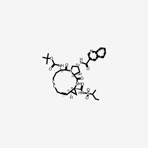 CCC(C)S(=O)(=O)NC(=O)[C@@]12C[C@H]1/C=C\CCCCC[C@H](NC(=O)OC(C)(C)C)C(=O)N1C[C@H](NC(=O)c3cnc4ccccc4c3)C[C@H]1C(=O)N2